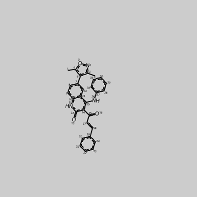 Cc1noc(C)c1-c1ccc2[nH]c(=O)c(C(=O)C=Cc3ccccc3)c(Nc3ccccc3)c2c1